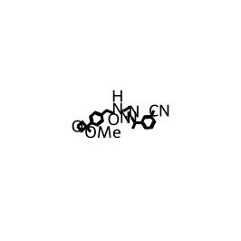 COC1(c2ccc(CC(=O)Nc3cnn(C(C)c4cccc(C#N)c4)n3)cc2)COC1